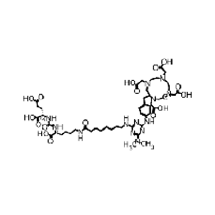 CN(C)c1nc(NCCCCCCCC(=O)NCCCC[C@H](NC(=O)N[C@@H](CCC(=O)O)C(=O)O)C(=O)O)nc(Nc2ccc(CC3CN(CC(=O)O)CCN(CC(=O)O)CCN(CC(=O)O)CCN3CC(=O)O)cc2)n1